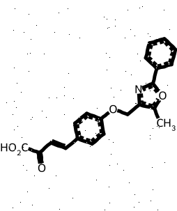 Cc1oc(-c2ccccc2)nc1COc1ccc(C=CC(=O)C(=O)O)cc1